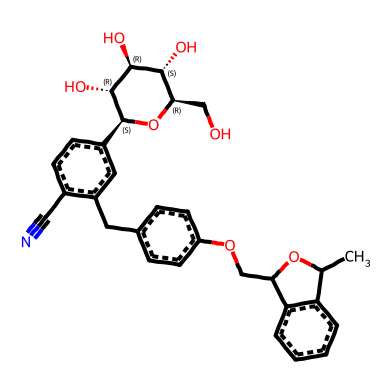 CC1OC(COc2ccc(Cc3cc([C@@H]4O[C@H](CO)[C@@H](O)[C@H](O)[C@H]4O)ccc3C#N)cc2)c2ccccc21